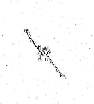 Cl.Cl.NCCCOCCOCCOCCCNC(=O)c1nc(N)c(C(=O)NCCCOCCOCCOCCCN)nc1N